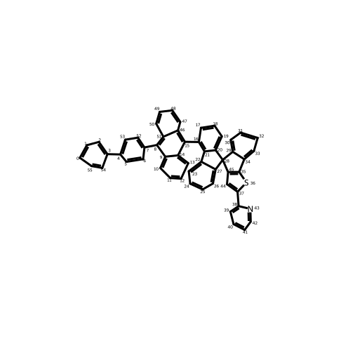 c1ccc(-c2ccc(-c3c4ccccc4c(-c4cccc5c4-c4ccccc4C54c5ccccc5-c5sc(-c6ccccn6)cc54)c4ccccc34)cc2)cc1